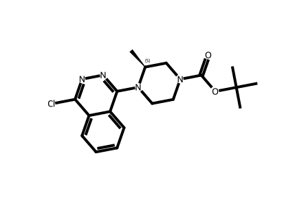 C[C@H]1CN(C(=O)OC(C)(C)C)CCN1c1nnc(Cl)c2ccccc12